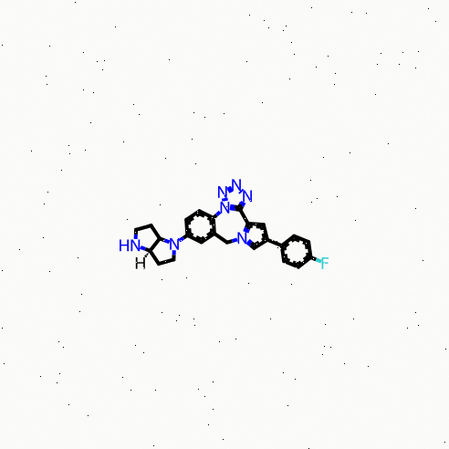 Fc1ccc(-c2cc3n(c2)Cc2cc(N4CC[C@H]5NCCC54)ccc2-n2nnnc2-3)cc1